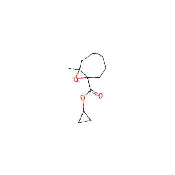 CC12CCCCCC1(C(=O)OC1CC1)O2